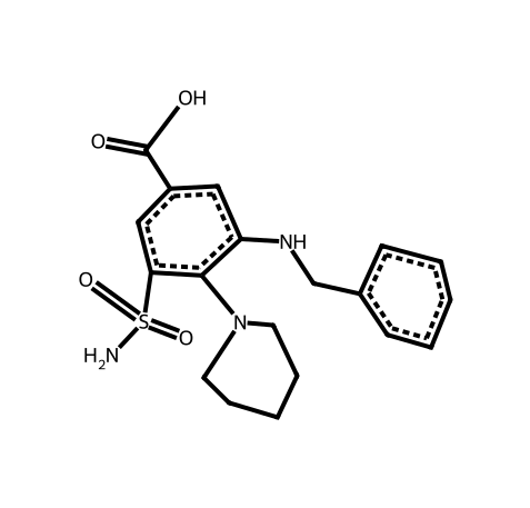 NS(=O)(=O)c1cc(C(=O)O)cc(NCc2ccccc2)c1N1CCCCC1